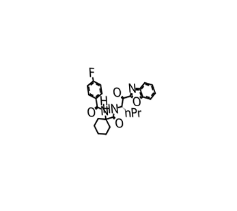 CCC[C@H](NC(=O)C1(NC(=O)c2ccc(F)cc2)CCCCC1)C(=O)c1nc2ccccc2o1